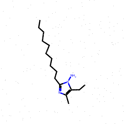 CCCCCCCCCCc1nc(C)c(CC)n1N